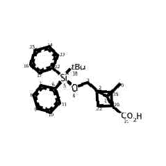 CC1C2(CO[Si](c3ccccc3)(c3ccccc3)C(C)(C)C)CC1(C(=O)O)C2